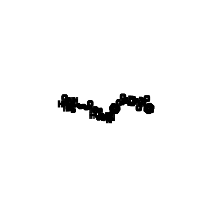 CC(CNC(=O)CCCC[C@@H]1SC[C@@H]2NC(=O)N[C@@H]21)OC(C)(C)Cn1cc(-c2ccc(OCC(=O)N3CCC(N4CC(=O)N(c5ccccc5)C4=O)CC3)cc2)nn1